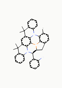 CCCc1ccc2c3c1N1c4ccccc4C(C)(C)c4cc5c6c(c41)P3C(=C(c1ccccc1N)N6c1ccccc1C5(C)C)C2